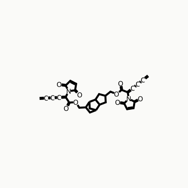 C=C=C=C=C(C(=O)OCC1CC2C3CC(COC(=O)C(=C=C=C=C)N4C(=O)C=CC4=O)C(C3)C2C1)N1C(=O)C=CC1=O